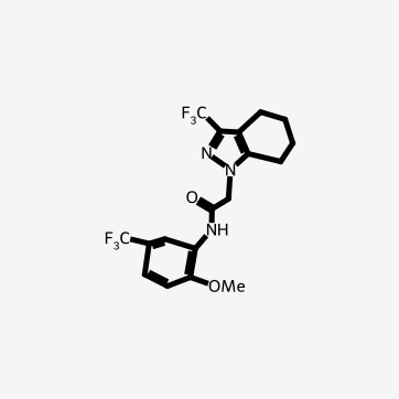 COc1ccc(C(F)(F)F)cc1NC(=O)Cn1nc(C(F)(F)F)c2c1CCCC2